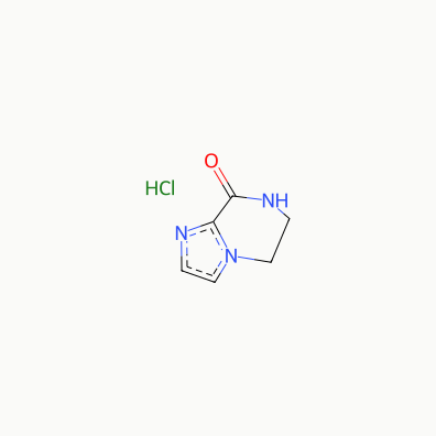 Cl.O=C1NCCn2ccnc21